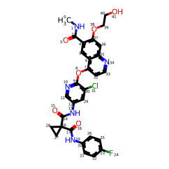 CNC(=O)c1cc2c(Oc3ncc(NC(=O)C4(C(=O)Nc5ccc(F)cc5)CC4)cc3Cl)ccnc2cc1OCCO